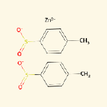 Cc1ccc(S(=O)[O-])cc1.Cc1ccc(S(=O)[O-])cc1.[Zn+2]